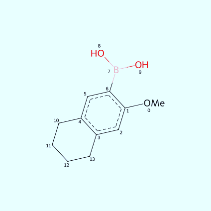 COc1cc2c(cc1B(O)O)CCCC2